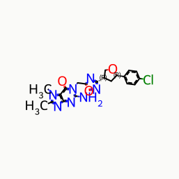 Cc1nc2nc(N)n(Cc3nc([C@@H]4CO[C@@H](c5ccc(Cl)cc5)C4)no3)c(=O)c2n1C